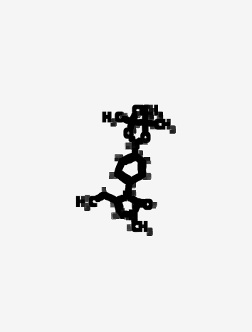 CCc1nn(C)c(=O)n1-c1ccc(B2OC(C)(C)C(C)(C)O2)cc1